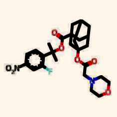 CC(C)(OC(=O)C12CC3CC(CC(OC(=O)CN4CCOCC4)(C3)C1)C2)c1ccc([N+](=O)[O-])cc1F